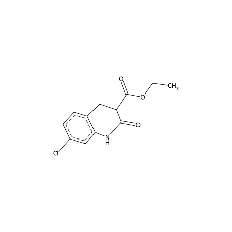 CCOC(=O)C1Cc2ccc(Cl)cc2NC1=O